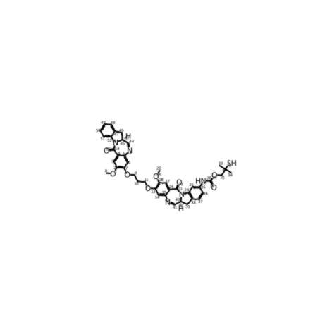 COc1cc2c(cc1OCCCOc1cc3c(cc1OC)C(=O)N1c4cc(NC(=O)OCC(C)(C)S)ccc4C[C@H]1C=N3)N=C[C@@H]1Cc3ccccc3N1C2=O